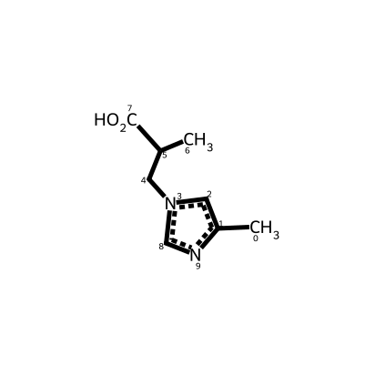 Cc1cn(CC(C)C(=O)O)cn1